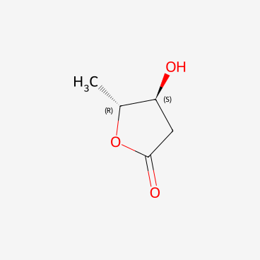 C[C@H]1OC(=O)C[C@@H]1O